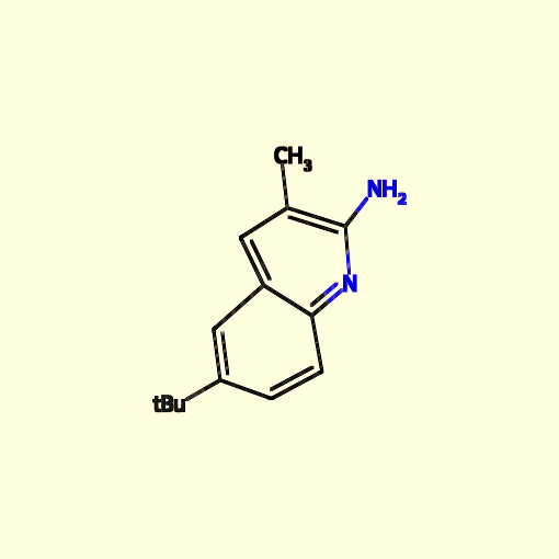 Cc1cc2cc(C(C)(C)C)ccc2nc1N